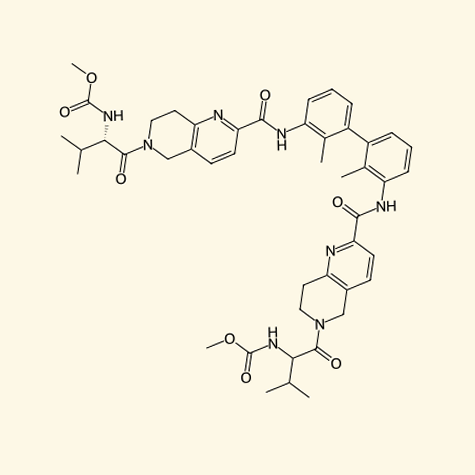 COC(=O)NC(C(=O)N1CCc2nc(C(=O)Nc3cccc(-c4cccc(NC(=O)c5ccc6c(n5)CCN(C(=O)[C@@H](NC(=O)OC)C(C)C)C6)c4C)c3C)ccc2C1)C(C)C